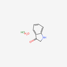 Cl.O.O=C1CNc2ccccc21